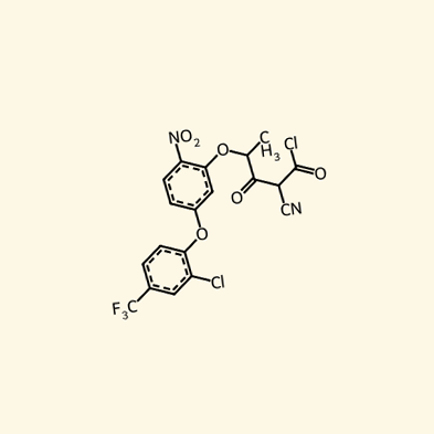 CC(Oc1cc(Oc2ccc(C(F)(F)F)cc2Cl)ccc1[N+](=O)[O-])C(=O)C(C#N)C(=O)Cl